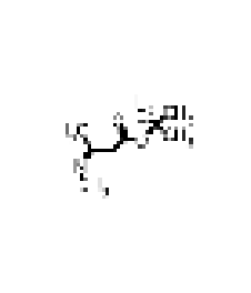 CN=C(C)CC(=O)OC(C)(C)C